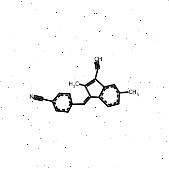 C#CC1=C(C)C(=Cc2ccc(C#N)cc2)c2ccc(C)cc21